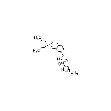 CCCN(CCC)[C@@H]1CCc2ccc(CNS(=O)(=O)c3cn(C)cn3)cc2C1